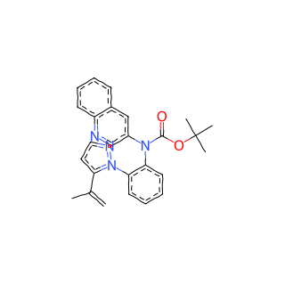 C=C(C)c1ccnn1-c1ccccc1N(C(=O)OC(C)(C)C)c1cnc2ccccc2c1